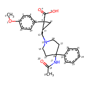 COc1ccc(C2(C(=O)O)C[C@H]2CN2CCC(NC(C)=O)(c3ccccc3)CC2)cc1